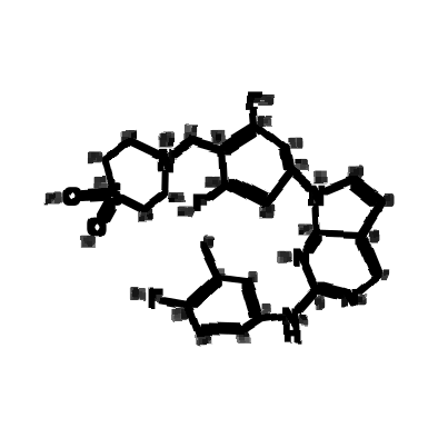 Cc1cc(Nc2ncc3ccn(-c4cc(F)c(CN5CCS(=O)(=O)CC5)c(F)c4)c3n2)ccc1F